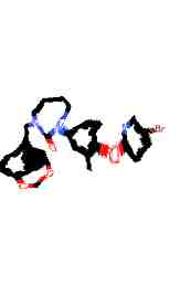 Cc1cc(N2CC=CN(Cc3ccc4c(c3)OCO4)C2=O)ccc1Oc1ccc(Br)cn1